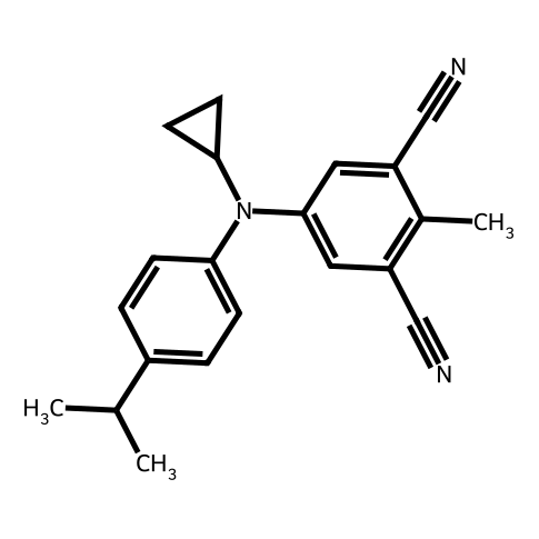 Cc1c(C#N)cc(N(c2ccc(C(C)C)cc2)C2CC2)cc1C#N